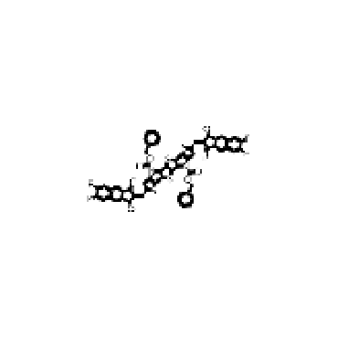 O=C1C(=Cc2cc3c(s2)c2sc4c(sc5c6sc(C=C7C(=O)c8cc9cc(F)c(F)cc9cc8C7=O)cc6n(C(=O)OCc6ccccc6)c54)c2n3C(=O)OCc2ccccc2)C(=O)c2cc3cc(F)c(F)cc3cc21